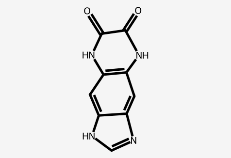 O=c1[nH]c2cc3nc[nH]c3cc2[nH]c1=O